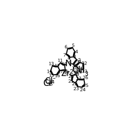 Cc1cc2ccccc2n1C1=Cc2ccccc2[CH]1[Zr+2][C]1=Cc2ccccc2C1n1cccc1.[Cl-].[Cl-]